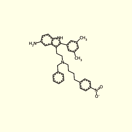 Cc1cc(C)cc(-c2[nH]c3ccc(N)cc3c2CCN(CCCCc2ccc([N+](=O)[O-])cc2)Cc2ccccc2)c1